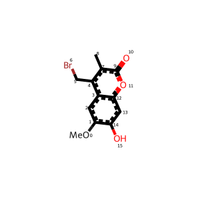 COc1cc2c(CBr)c(C)c(=O)oc2cc1O